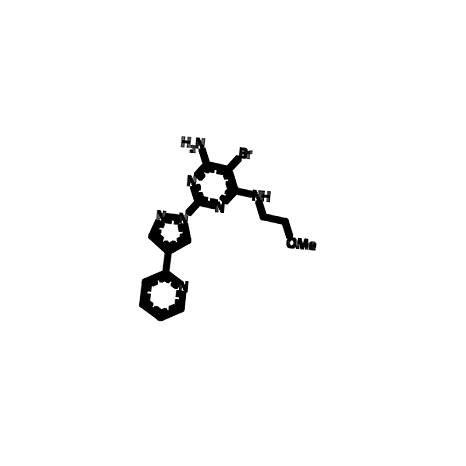 COCCNc1nc(-n2cc(-c3ccccn3)cn2)nc(N)c1Br